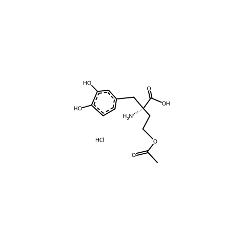 CC(=O)OCC[C@@](N)(Cc1ccc(O)c(O)c1)C(=O)O.Cl